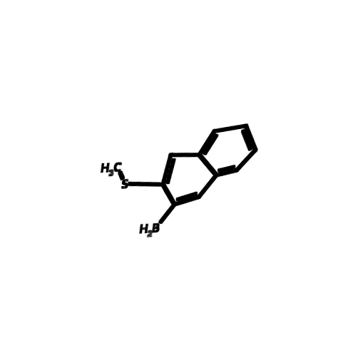 Bc1cc2ccccc2cc1SC